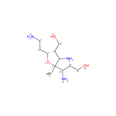 CCCC(OCCCN)(C(N)CCO)C(N)CCO